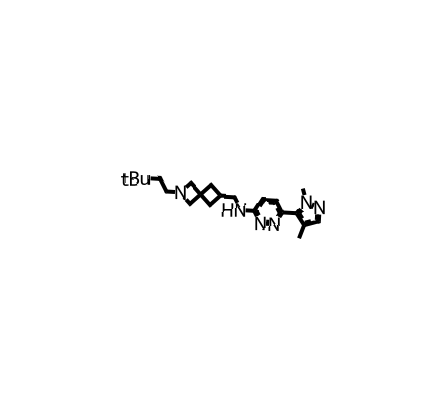 Cc1cnn(C)c1-c1ccc(NCC2CC3(C2)CN(CCC(C)(C)C)C3)nn1